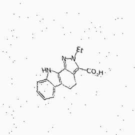 CCn1nc2c(c1C(=O)O)CCc1c-2[nH]c2ccccc12